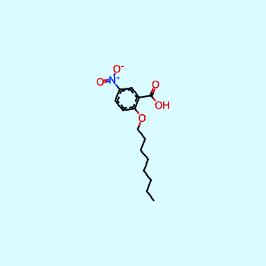 CCCCCCCCOc1ccc([N+](=O)[O-])cc1C(=O)O